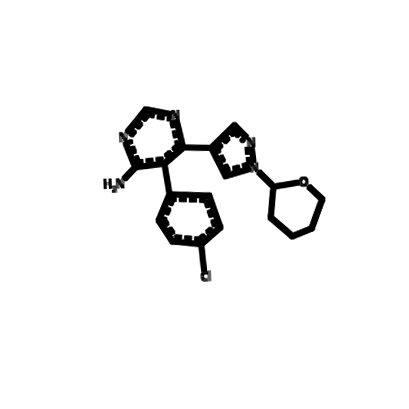 Nc1ncnc(-c2cnn(C3CCCCO3)c2)c1-c1ccc(Cl)cc1